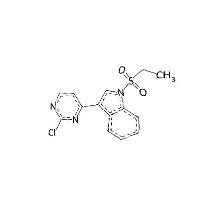 CCS(=O)(=O)n1cc(-c2ccnc(Cl)n2)c2ccccc21